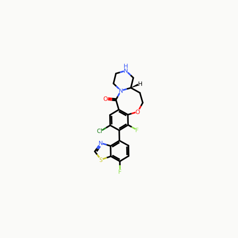 O=C1c2cc(Cl)c(-c3ccc(F)c4scnc34)c(F)c2OCC[C@H]2CNCCN12